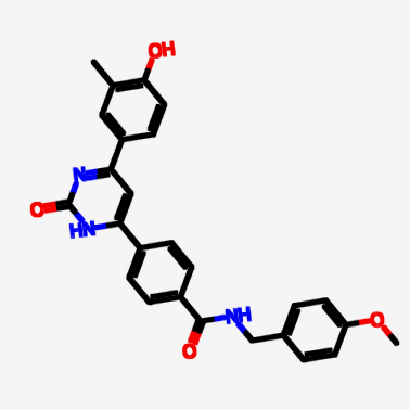 COc1ccc(CNC(=O)c2ccc(-c3cc(-c4ccc(O)c(C)c4)nc(=O)[nH]3)cc2)cc1